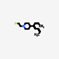 C\C=C/C=C(\C=C/C)C1CCN(CCF)CC1